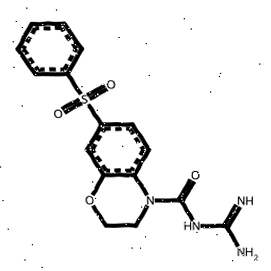 N=C(N)NC(=O)N1CCOc2cc(S(=O)(=O)c3ccccc3)ccc21